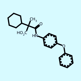 CC(C(=O)O)(C(=O)Nc1ccc(Oc2ccccc2)cc1)C1CCCCC1